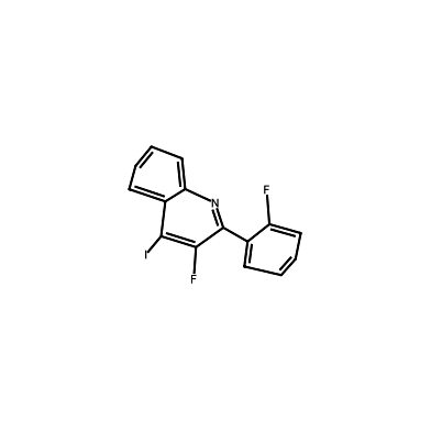 Fc1ccccc1-c1nc2ccccc2c(I)c1F